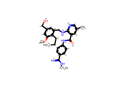 CCOC(=O)NC(=N)c1ccc(NC(=O)c2cc(C)cnc2NCc2cc(CO)cc(OC(C)C)c2CCC(=O)O)cc1